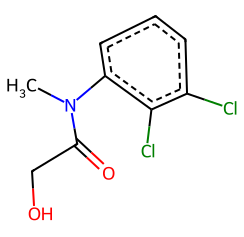 CN(C(=O)CO)c1cccc(Cl)c1Cl